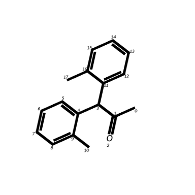 CC(=O)C(c1ccccc1C)c1ccccc1C